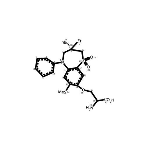 CCCC[C@@]1(CC)CN(c2ccccc2)c2cc(SC)c(OCC(N)C(=O)O)cc2S(=O)(=O)C1